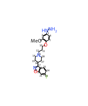 COc1cc(NN)ccc1OCCCN1CCC(c2noc3cc(F)ccc23)CC1